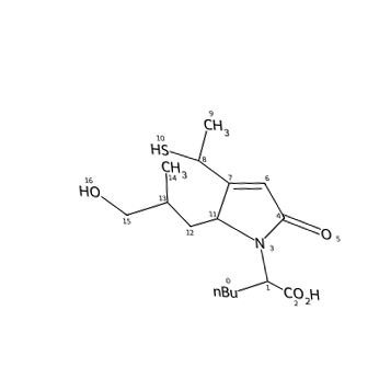 CCCCC(C(=O)O)N1C(=O)C=C(C(C)S)C1CC(C)CO